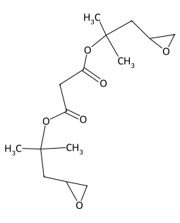 CC(C)(CC1CO1)OC(=O)CC(=O)OC(C)(C)CC1CO1